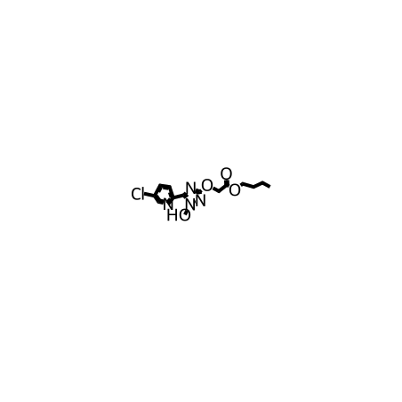 CCCCOC(=O)COc1nc(-c2ccc(Cl)cn2)n(O)n1